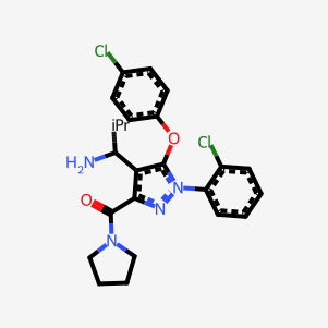 CC(C)C(N)c1c(C(=O)N2CCCC2)nn(-c2ccccc2Cl)c1Oc1ccc(Cl)cc1